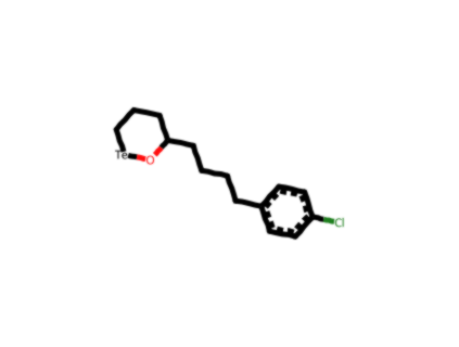 Clc1ccc(CCCCC2CCC[Te]O2)cc1